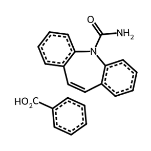 NC(=O)N1c2ccccc2C=Cc2ccccc21.O=C(O)c1ccccc1